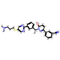 C[C@@H](c1cccc(-c2ncc(SCCCN(C)C)cn2)c1)n1nc(-c2cccc(C#N)c2)ccc1=O